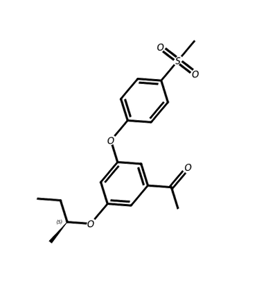 CC[C@H](C)Oc1cc(Oc2ccc(S(C)(=O)=O)cc2)cc(C(C)=O)c1